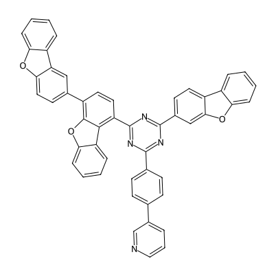 c1cncc(-c2ccc(-c3nc(-c4ccc5c(c4)oc4ccccc45)nc(-c4ccc(-c5ccc6oc7ccccc7c6c5)c5oc6ccccc6c45)n3)cc2)c1